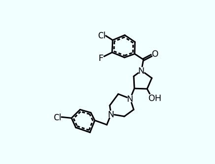 O=C(c1ccc(Cl)c(F)c1)N1CC(O)C(N2CCN(Cc3ccc(Cl)cc3)CC2)C1